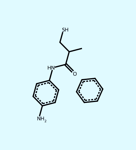 CC(CS)C(=O)Nc1ccc(N)cc1.c1ccccc1